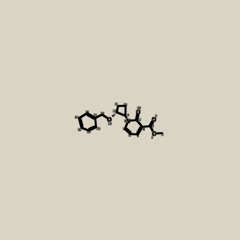 COC(=O)c1cccn([C@H]2CC[C@H]2OCc2ccccc2)c1=O